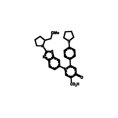 COCC1CCCN1c1nc2ccc(-n3cc(C(=O)O)c(=O)cc3-c3ccc(N4CCCC4)cc3)cc2s1